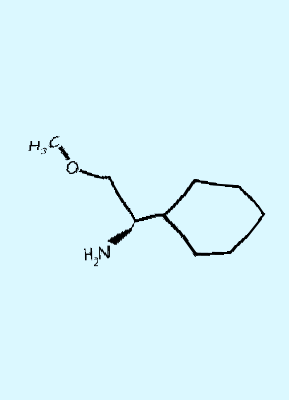 COC[C@H](N)C1CCCCC1